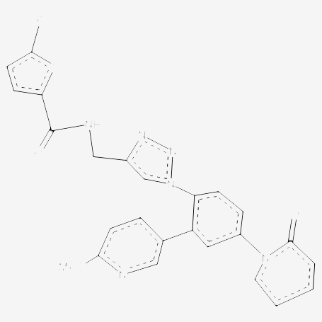 COc1ccc(-c2cc(-n3ccccc3=O)ccc2-n2cc(CNC(=O)c3ccc(Cl)s3)nn2)cn1